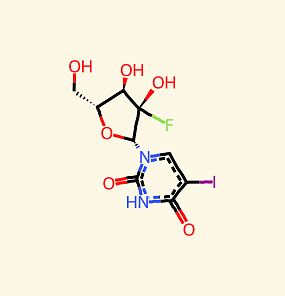 O=c1[nH]c(=O)n([C@@H]2O[C@H](CO)[C@@H](O)[C@]2(O)F)cc1I